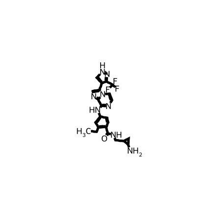 CCc1cc(Nc2nccn3c(-c4c[nH]nc4C(F)(F)F)cnc23)ccc1C(=O)NCC1CC1N